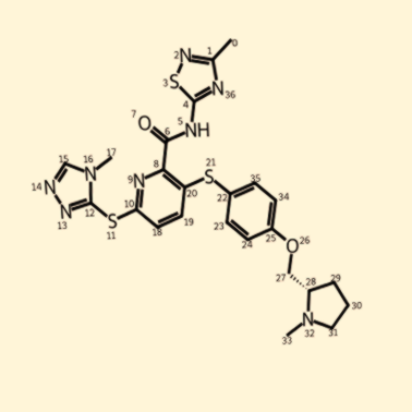 Cc1nsc(NC(=O)c2nc(Sc3nncn3C)ccc2Sc2ccc(OC[C@@H]3CCCN3C)cc2)n1